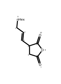 CCCCCCC/C=C/C1CC(=O)OC1=O